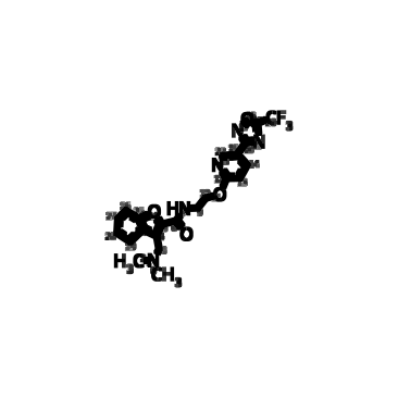 CN(C)Cc1c(C(=O)NCCOc2ccc(-c3noc(C(F)(F)F)n3)cn2)oc2ccccc12